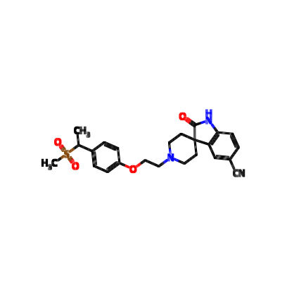 CC(c1ccc(OCCN2CCC3(CC2)C(=O)Nc2ccc(C#N)cc23)cc1)S(C)(=O)=O